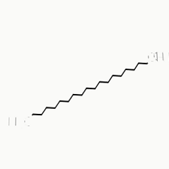 C.CCCCCCCCCCCCCCCCCCCC